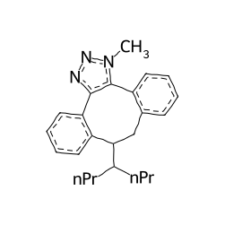 CCCC(CCC)C1Cc2ccccc2-c2c(nnn2C)-c2ccccc21